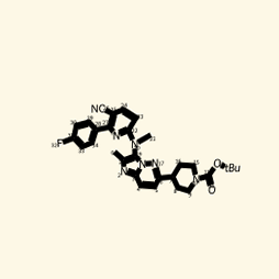 Cc1nc2ccc(C3CCN(C(=O)OC(C)(C)C)CC3)nn2c1N(C)c1ccc(C#N)c(-c2ccc(F)cc2)n1